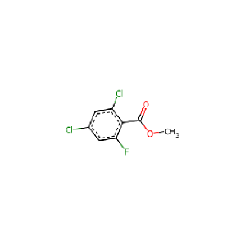 COC(=O)c1c(F)cc(Cl)cc1Cl